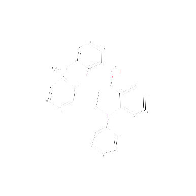 COc1ccccc1[P@](CCP(c1ccccc1)c1ccccc1CO)c1ccccc1